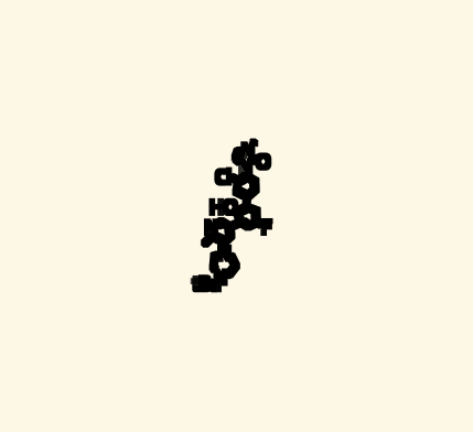 Cc1ncc(-c2cc(F)cc(-c3ccc(-n4c#cn(C)c4=O)c(Cl)c3)c2O)cc1N1CCCN(C(C)(C)C)CC1